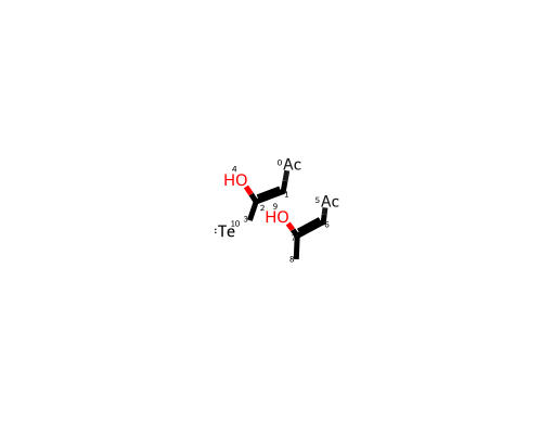 CC(=O)/C=C(/C)O.CC(=O)/C=C(/C)O.[Te]